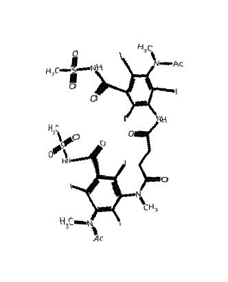 CC(=O)N(C)c1c(I)c(NC(=O)CCC(=O)N(C)c2c(I)c(C(=O)NS(C)(=O)=O)c(I)c(N(C)C(C)=O)c2I)c(I)c(C(=O)NS(C)(=O)=O)c1I